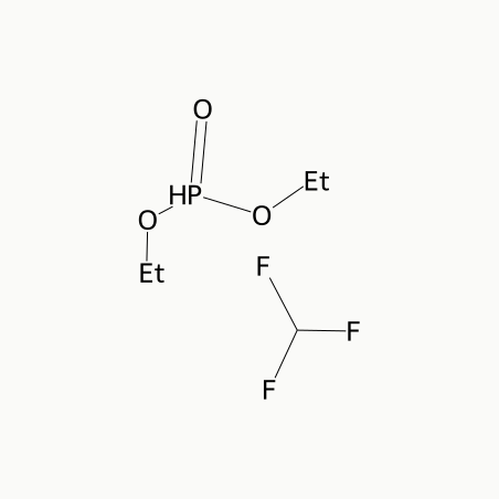 CCO[PH](=O)OCC.FC(F)F